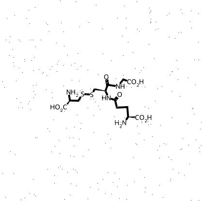 N[C@@H](CCC(=O)N[C@@H](CSSC[C@H](N)C(=O)O)C(=O)NCC(=O)O)C(=O)O